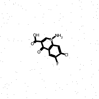 Nn1cc(C(=O)O)c(=O)c2cc(F)c(Cl)cc21